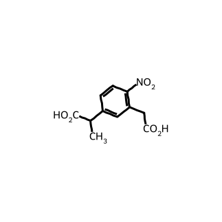 CC(C(=O)O)c1ccc([N+](=O)[O-])c(CC(=O)O)c1